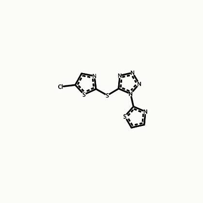 Clc1cnc(Sc2nnnn2-c2nccs2)s1